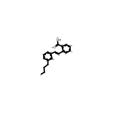 CCCCc1cccc(C=Cc2ccccc2C(=O)O)c1